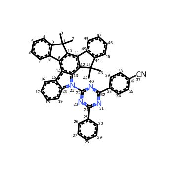 CC1(C)c2ccccc2-c2c1c1c(c3c2c2ccccc2n3-c2nc(-c3ccccc3)nc(-c3ccc(C#N)cc3)n2)C(C)(C)c2ccccc2-1